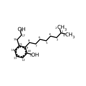 CC(C)CCCCCCc1c(O)cccc1CCO